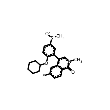 Cn1cc(-c2cc([S+](C)[O-])ccc2OC2CCCCC2)c2cc(F)ccc2c1=O